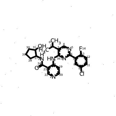 CC(C)c1cnc(-c2cc(Cl)ccc2F)nc1Nc1ccncc1C(=O)NC1CCCC1O